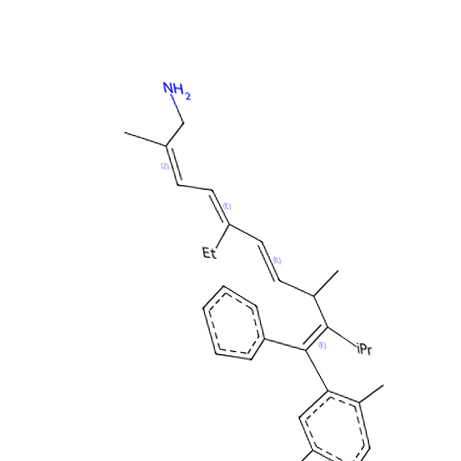 CCC(/C=C/C(C)/C(=C(\c1ccccc1)c1cc(C)ccc1C)C(C)C)=C\C=C(\C)CN